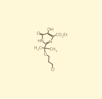 CCOC(=O)c1nc(C(C)(C)OCCCCl)[nH]c(=O)c1O